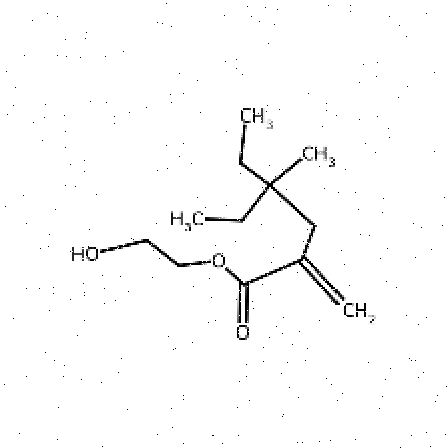 C=C(CC(C)(CC)CC)C(=O)OCCO